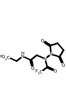 O=C(O)CNC(=O)CN(C(=O)C(F)(F)F)N1C(=O)CCC1=O